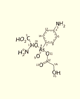 NCC(=O)O.Nc1ccc([As](=O)(O)OC(=O)CO)cc1